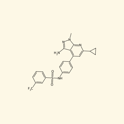 Cn1nc(N)c2c(-c3ccc(NS(=O)(=O)c4cccc(C(F)(F)F)c4)cc3)cc(C3CC3)nc21